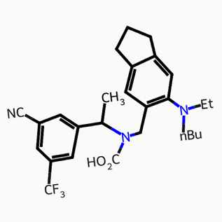 CCCCN(CC)c1cc2c(cc1CN(C(=O)O)C(C)c1cc(C#N)cc(C(F)(F)F)c1)CCC2